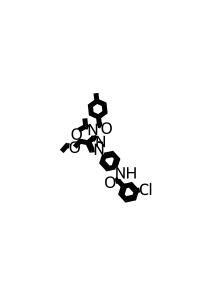 CCOC(=O)c1cn(-c2ccc(NC(=O)c3cccc(Cl)c3)cc2)nc1N(C(=O)C1CCC(C)CC1)C(C)C